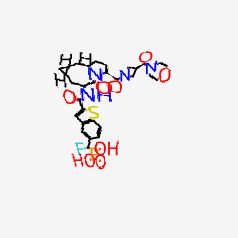 O=C(N[C@H]1C[C@@H]2C[C@@H]2C[C@H]2CC[C@@H](C(=O)N3CC(C(=O)N4CCOCC4)C3)N2C1=O)c1cc2cc(C(F)P(=O)(O)O)ccc2s1